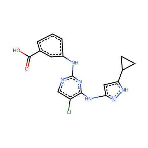 O=C(O)c1cccc(Nc2ncc(Cl)c(Nc3cc(C4CC4)[nH]n3)n2)c1